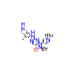 CC(C)n1c(=O)c2cnc(Nc3cc(F)c4c(c3)CNCC4)nc2n1-c1ccnc(C(C)(C)C)c1